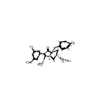 COC1=C(c2cc(Cl)cc(Cl)c2)C(=O)[C@]2(Cc3ccc(C#N)cc3)C[C@H](NC(C)=O)CN12